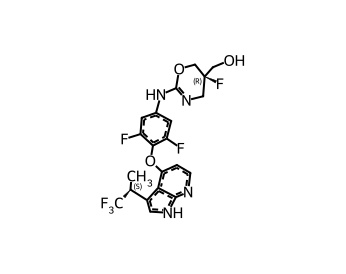 C[C@@H](c1c[nH]c2nccc(Oc3c(F)cc(NC4=NC[C@@](F)(CO)CO4)cc3F)c12)C(F)(F)F